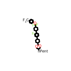 CCCCCC1COC(C2CCC(c3ccc(C4CCC(C(F)(F)Oc5ccc(C(F)(F)F)cc5)CC4)c(F)c3)CC2)OC1